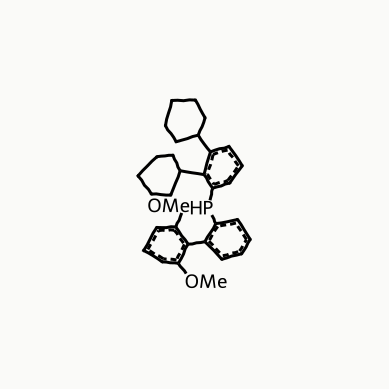 COc1cccc(OC)c1-c1ccccc1Pc1cccc(C2CCCCC2)c1C1CCCCC1